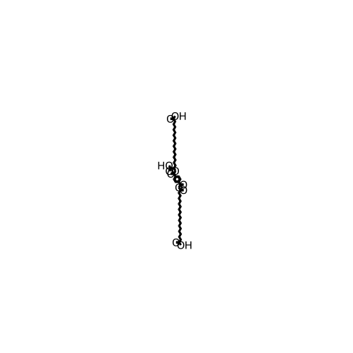 O=C(O)CCCCCCCCCCCCCCCCCCC(=O)OC(=O)c1ccc(C(=O)OC(CCCCCCCCCCCCCCCCCC(=O)O)C(=O)O)cc1